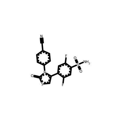 N#Cc1ccc(-n2c(-c3cc(F)c(S(N)(=O)=O)cc3F)csc2=O)cc1